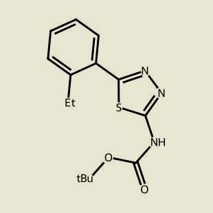 CCc1ccccc1-c1nnc(NC(=O)OC(C)(C)C)s1